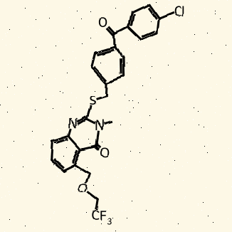 Cn1c(SCc2ccc(C(=O)c3ccc(Cl)cc3)cc2)nc2cccc(COCC(F)(F)F)c2c1=O